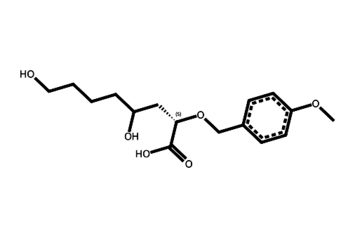 COc1ccc(CO[C@@H](CC(O)CCCCO)C(=O)O)cc1